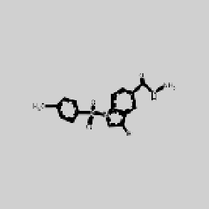 Cc1ccc(S(=O)(=O)n2cc(Br)c3cc(C(=O)NN)ccc32)cc1